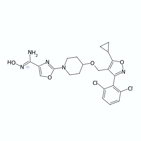 N/C(=N\O)c1coc(N2CCC(OCc3c(-c4c(Cl)cccc4Cl)noc3C3CC3)CC2)n1